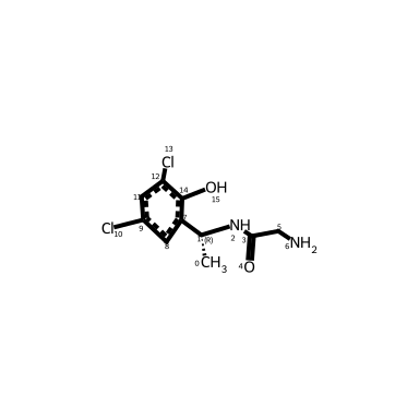 C[C@@H](NC(=O)CN)c1cc(Cl)cc(Cl)c1O